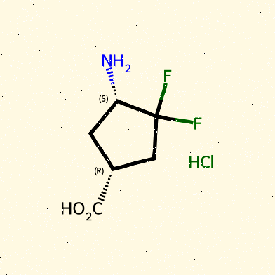 Cl.N[C@H]1C[C@@H](C(=O)O)CC1(F)F